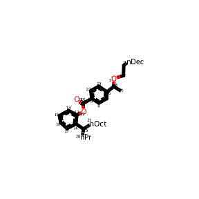 CCCCCCCCCCCCOC(C)c1ccc(C(=O)Oc2ccccc2C(CCC)CCCCCCCC)cc1